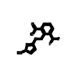 O=C(Cl)c1cccc(C(F)F)c1COc1ccn(O)n1